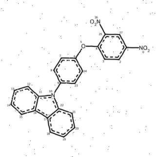 O=[N+]([O-])c1ccc(Oc2ccc(-n3c4ccccc4c4ccccc43)cc2)c([N+](=O)[O-])c1